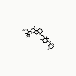 CC(=O)O[C@@H]([C@H]1C[C@@H](C)C2C(CC3[C@H](CCC4C(C)CC[C@H](OC5CN(C)CCO5)C4(C)C)CCC[C@@]32C)O1)C(C)(C)O